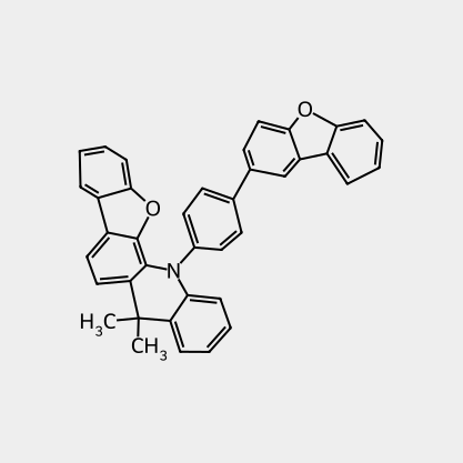 CC1(C)c2ccccc2N(c2ccc(-c3ccc4oc5ccccc5c4c3)cc2)c2c1ccc1c2oc2ccccc21